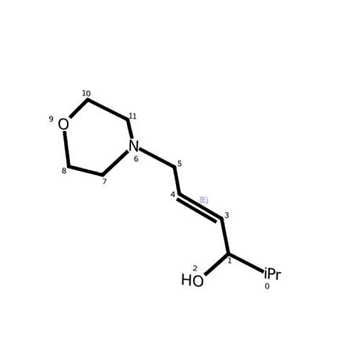 CC(C)C(O)/C=C/CN1CCOCC1